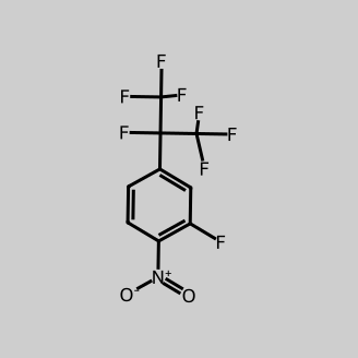 O=[N+]([O-])c1ccc(C(F)(C(F)(F)F)C(F)(F)F)cc1F